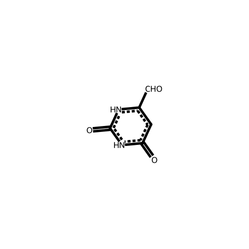 O=Cc1cc(=O)[nH]c(=O)[nH]1